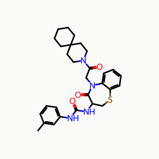 Cc1cccc(NC(=O)NC2CSc3ccccc3N(CC(=O)N3CCC4(CCCCC4)CC3)C2=O)c1